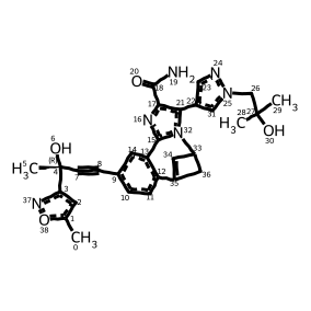 Cc1cc([C@](C)(O)C#Cc2ccc3c(c2)-c2nc(C(N)=O)c(-c4cnn(CC(C)(C)O)c4)n2C2C=C3C2)no1